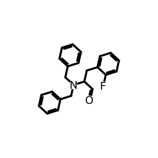 O=CC(Cc1ccccc1F)N(Cc1ccccc1)Cc1ccccc1